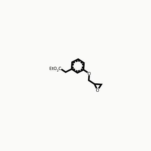 CCOC(=O)Cc1cccc(OCC2CO2)c1